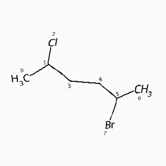 CC(Cl)CCC(C)Br